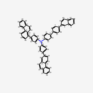 c1ccc2cc(-c3ccc(-c4ccc(N(c5ccc(-c6ccc7c(ccc8ccccc87)c6)cc5)c5ccc(-c6cccc7c6ccc6ccccc67)cc5)cc4)cc3)ccc2c1